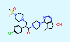 C[C@@H]1C[C@@H](O)c2ncnc(N3CCN(C(=O)C(CN4CCN(S(C)(=O)=O)CC4)c4ccc(Cl)cc4)CC3)c21